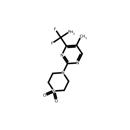 Cc1cnc(N2CCS(=O)(=O)CC2)nc1C(F)(F)P